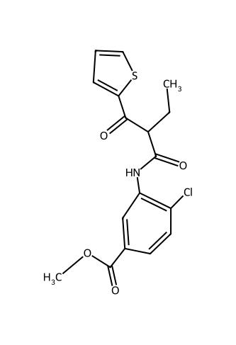 CCC(C(=O)Nc1cc(C(=O)OC)ccc1Cl)C(=O)c1cccs1